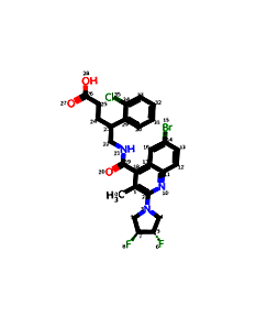 Cc1c(N2C[C@H](F)[C@@H](F)C2)nc2ccc(Br)cc2c1C(=O)NCC(CCC(=O)O)c1ccccc1Cl